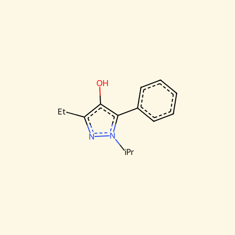 CCc1nn(C(C)C)c(-c2ccccc2)c1O